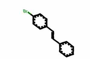 Brc1ccc(C=Cc2ccccc2)cc1